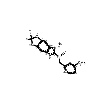 COc1ccnc(C[S+]([O-])c2nc3cc4c(cc3[nH]2)OC(F)(F)O4)c1.[Na]